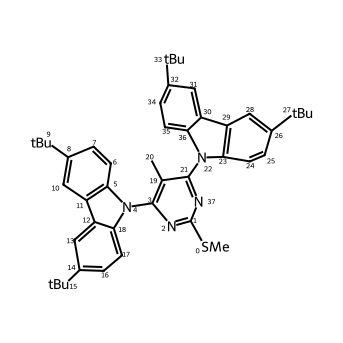 CSc1nc(-n2c3ccc(C(C)(C)C)cc3c3cc(C(C)(C)C)ccc32)c(C)c(-n2c3ccc(C(C)(C)C)cc3c3cc(C(C)(C)C)ccc32)n1